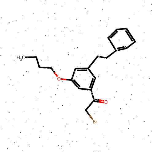 CCCCOc1cc(CCc2ccccc2)cc(C(=O)CBr)c1